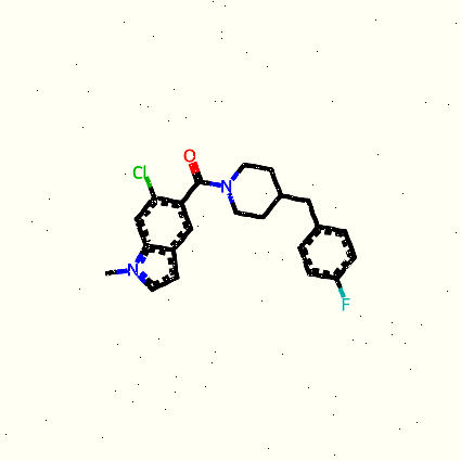 Cn1ccc2cc(C(=O)N3CCC(Cc4ccc(F)cc4)CC3)c(Cl)cc21